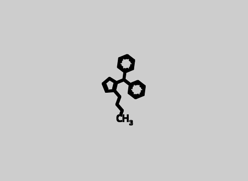 CCCCC1=C(C(c2ccccc2)c2ccccc2)CC=C1